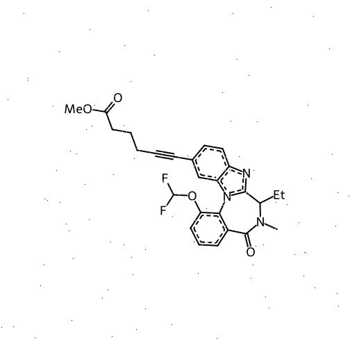 CCC1c2nc3ccc(C#CCCCC(=O)OC)cc3n2-c2c(OC(F)F)cccc2C(=O)N1C